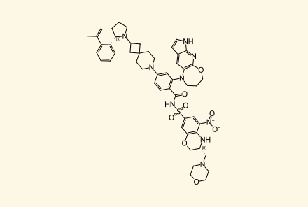 C=C(C)c1ccccc1[C@@H]1CCCN1C1CC2(CCN(c3ccc(C(=O)NS(=O)(=O)c4cc5c(c([N+](=O)[O-])c4)N[C@H](CN4CCOCC4)CO5)c(N4CCCOc5nc6[nH]ccc6cc54)c3)CC2)C1